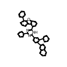 c1ccc(C2=NC(c3ccc(-c4ccc5ccccc5c4)c(-c4ccccc4)c3)NC(c3cccc4oc5c(-c6ccccc6)cccc5c34)=N2)cc1